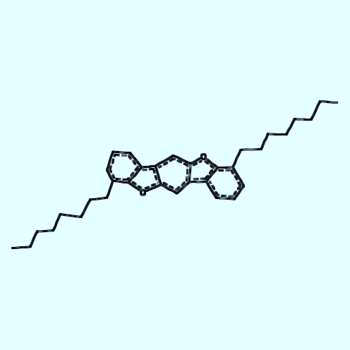 CCCCCCCCc1cccc2c1oc1cc3c(cc12)oc1c(CCCCCCCC)cccc13